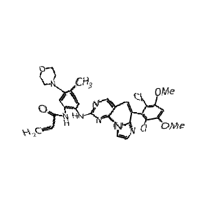 C=CC(=O)Nc1cc(N2CCOCC2)c(C)cc1Nc1ncc2cc(-c3c(Cl)c(OC)cc(OC)c3Cl)c3nccn3c2n1